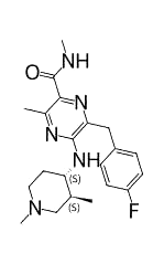 CNC(=O)c1nc(Cc2ccc(F)cc2)c(N[C@H]2CCN(C)C[C@@H]2C)nc1C